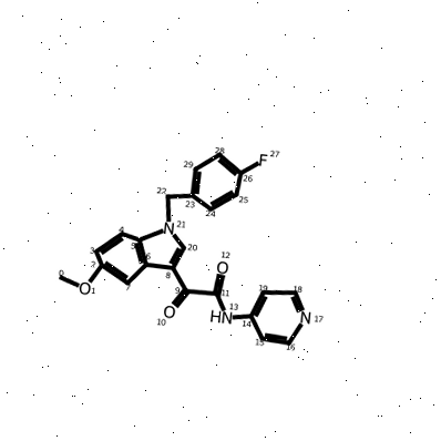 COc1ccc2c(c1)c(C(=O)C(=O)Nc1ccncc1)cn2Cc1ccc(F)cc1